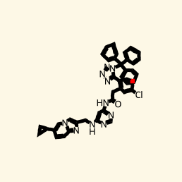 O=C(Cc1cc(Cl)ccc1-c1nnnn1C(c1ccccc1)(c1ccccc1)c1ccccc1)Nc1cc(NCc2cn3cc(C4CC4)ccc3n2)ncn1